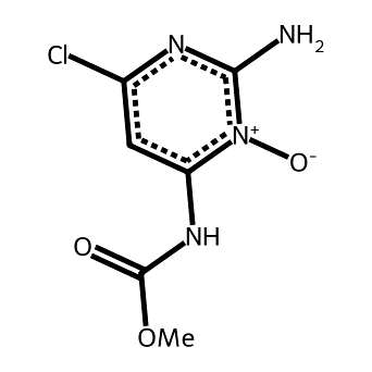 COC(=O)Nc1cc(Cl)nc(N)[n+]1[O-]